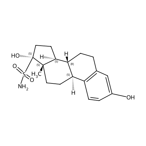 C[C@]12CC[C@@H]3c4ccc(O)cc4CC[C@H]3[C@@H]1CC[C@]2(O)S(N)(=O)=O